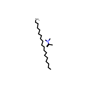 C=C(C)N(C)C.CCCCCCCCCCCCCCCCCC[SiH3]